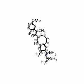 COc1ncc(F)c([C@H](C)C(=O)N2CCCCc3cc(/C(N)=N/N(C)N)c(C)nc3NC2)n1